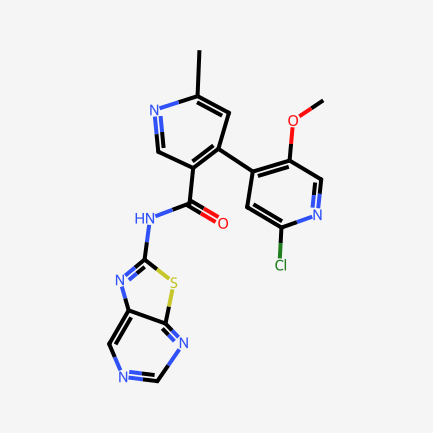 COc1cnc(Cl)cc1-c1cc(C)ncc1C(=O)Nc1nc2cncnc2s1